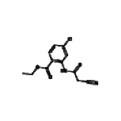 CCOC(=O)c1ccc(Cl)cc1NC(=O)CC#N